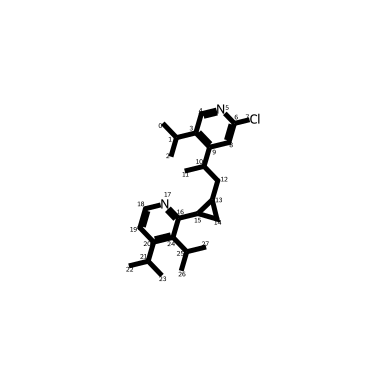 CC(C)c1cnc(Cl)cc1C(C)CC1CC1c1nccc(C(C)C)c1C(C)C